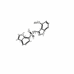 COc1cccc2onc(NS(=O)(=O)c3cccc4ccoc34)c12